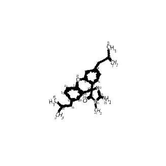 CC(C)Cc1ccc2c(c1)Oc1ccc(CC(C)C)cc1C21N=C(N)N(C)C1=O